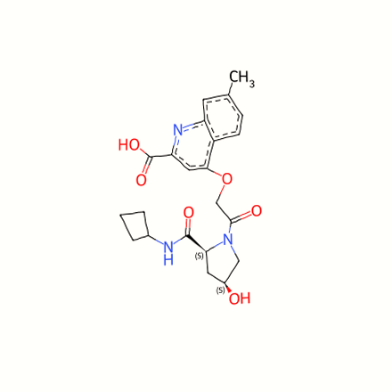 Cc1ccc2c(OCC(=O)N3C[C@@H](O)C[C@H]3C(=O)NC3CCC3)cc(C(=O)O)nc2c1